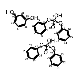 O=P(O)(Oc1ccccc1)Oc1ccccc1.O=P(O)(Oc1ccccc1)Oc1ccccc1.Oc1cccc(O)c1